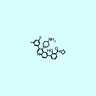 Cc1cc(F)cc(-c2cnc3ccc(-c4cccc(C(=O)N5CCC5)c4O)cc3c2N2CCC(N)CC2)c1